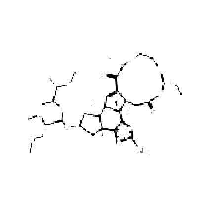 CC[C@H]1CCCC[C@@H](C)C(=O)C2=CC3[C@@H](c4sc(N)nc4[C@@H]4C[C@@H](OC(OC(C)[C@@H](C)OC)[C@H](COC)OC)C[C@@H]34)[C@@H]2CC(=O)O1